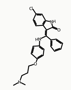 CN(C)CCCOc1ccc(NC(=C2C(=O)Nc3cc(Cl)ccc32)c2ccccc2)cc1